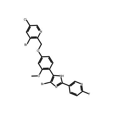 COc1cc(OCc2ncc(Cl)cc2Br)ccc1-c1[nH]c(-c2ccc(F)nc2)nc1Br